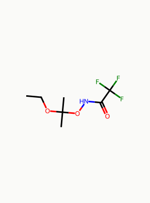 CCOC(C)(C)ONC(=O)C(F)(F)F